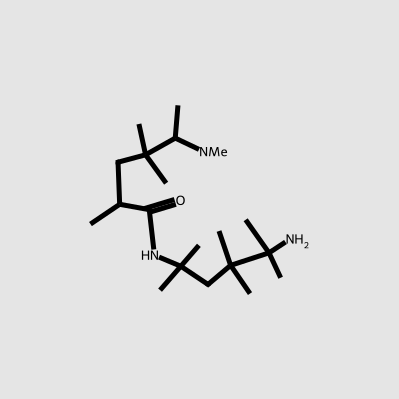 CNC(C)C(C)(C)CC(C)C(=O)NC(C)(C)CC(C)(C)C(C)(C)N